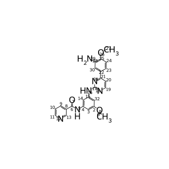 COc1cc(NC(=O)c2cccnc2)cc(Nc2nccc(-c3ccc(OC)c(N)c3)n2)c1